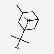 CC1CC2CC(C(C)(C)O)(C1)N2C